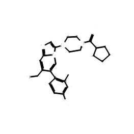 NCc1cc2ncc(N3CCN(C(=O)C4CCCC4)CC3)n2cc1-c1ccc(Cl)cc1Cl